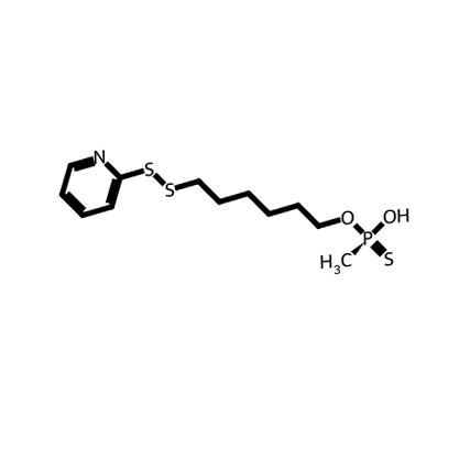 C[P@@](O)(=S)OCCCCCCSSc1ccccn1